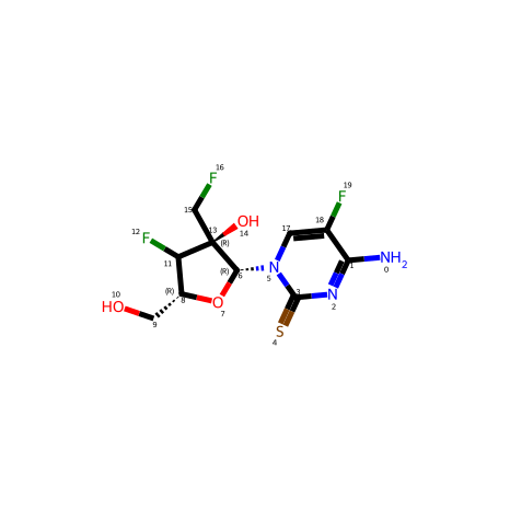 Nc1nc(=S)n([C@@H]2O[C@H](CO)C(F)[C@]2(O)CF)cc1F